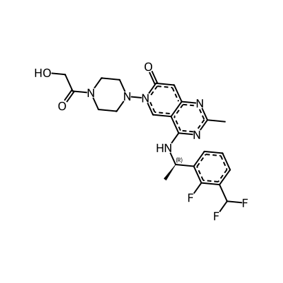 Cc1nc(N[C@H](C)c2cccc(C(F)F)c2F)c2cn(N3CCN(C(=O)CO)CC3)c(=O)cc2n1